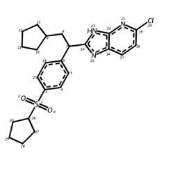 O=S(=O)(c1ccc(C(CC2CCCC2)c2nc3ccc(Cl)nc3[nH]2)cc1)C1CCCC1